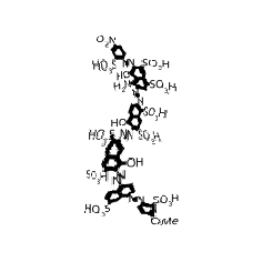 COc1ccc(N=Nc2ccc(N=Nc3c(S(=O)(=O)O)cc4cc(S(=O)(=O)O)c(N=Nc5c(S(=O)(=O)O)cc6c(S(=O)(=O)O)c(N=Nc7cc(S(=O)(=O)O)c8cc(S(=O)(=O)O)c(N=Nc9ccc([N+](=O)[O-])cc9S(=O)(=O)O)c(O)c8c7N)ccc6c5O)cc4c3O)c3ccc(S(=O)(=O)O)cc23)c(S(=O)(=O)O)c1